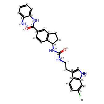 Nc1ccccc1NC(=O)c1ccc2c(c1)CCC2NC(=O)NCCc1c[nH]c2cc(F)ccc12